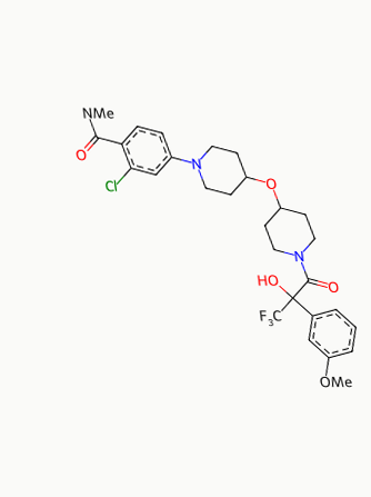 CNC(=O)c1ccc(N2CCC(OC3CCN(C(=O)C(O)(c4cccc(OC)c4)C(F)(F)F)CC3)CC2)cc1Cl